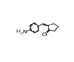 Nc1ccc(C=C2CCCC2=O)cc1